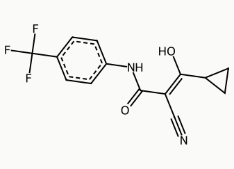 N#CC(C(=O)Nc1ccc(C(F)(F)F)cc1)=C(O)C1CC1